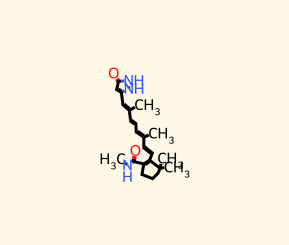 CNC(=O)C1=C(/C=C/C(C)=C/C=C/C(C)=C/c2cc(=O)[nH][nH]2)C(C)(C)CCC1